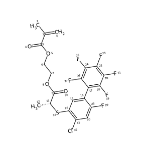 C=C(C)C(=O)OCCOC(=O)[C@@H](C)Sc1cc(-c2c(F)c(F)c(F)c(F)c2F)c(F)cc1Cl